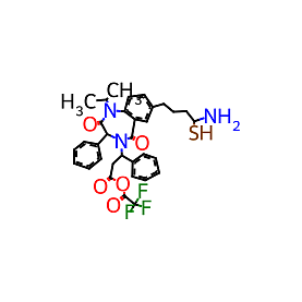 CC(C)N1C(=O)C(c2ccccc2)N(C(CC(=O)OC(=O)C(F)(F)F)c2ccccc2)C(=O)c2cc(CCCC(N)S)ccc21